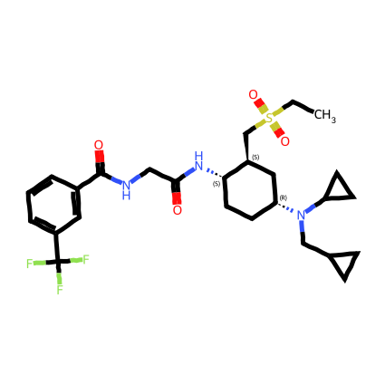 CCS(=O)(=O)C[C@H]1C[C@H](N(CC2CC2)C2CC2)CC[C@@H]1NC(=O)CNC(=O)c1cccc(C(F)(F)F)c1